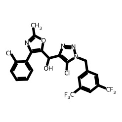 Cc1nc(-c2ccccc2Cl)c(C(O)c2nnn(Cc3cc(C(F)(F)F)cc(C(F)(F)F)c3)c2Cl)o1